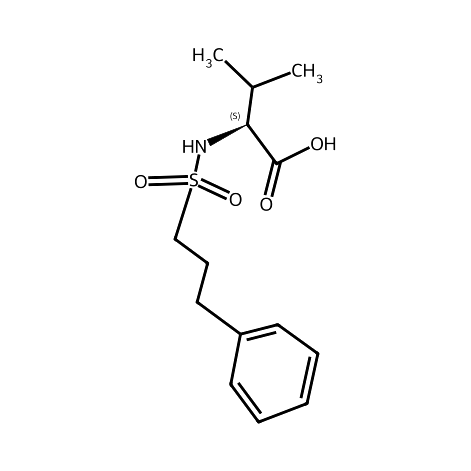 CC(C)[C@H](NS(=O)(=O)CCCc1ccccc1)C(=O)O